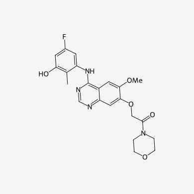 COc1cc2c(Nc3cc(F)cc(O)c3C)ncnc2cc1OCC(=O)N1CCOCC1